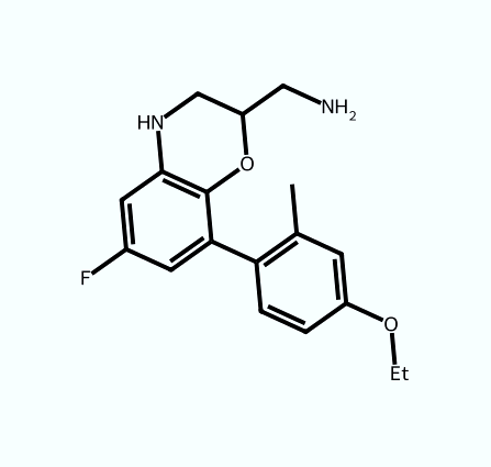 CCOc1ccc(-c2cc(F)cc3c2OC(CN)CN3)c(C)c1